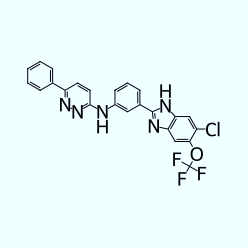 FC(F)(F)Oc1cc2nc(-c3cccc(Nc4ccc(-c5ccccc5)nn4)c3)[nH]c2cc1Cl